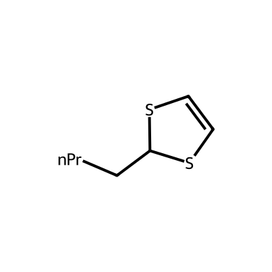 CCCCC1SC=CS1